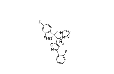 C[C@@H](c1cc(-c2ccccc2F)no1)[C@](O)(Cn1cnnn1)c1ccc(F)cc1F